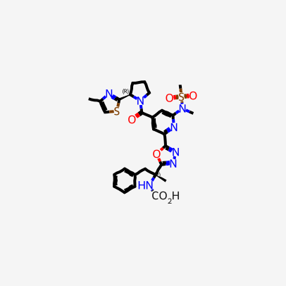 Cc1csc([C@H]2CCCN2C(=O)c2cc(-c3nnc([C@@](C)(Cc4ccccc4)NC(=O)O)o3)nc(N(C)S(C)(=O)=O)c2)n1